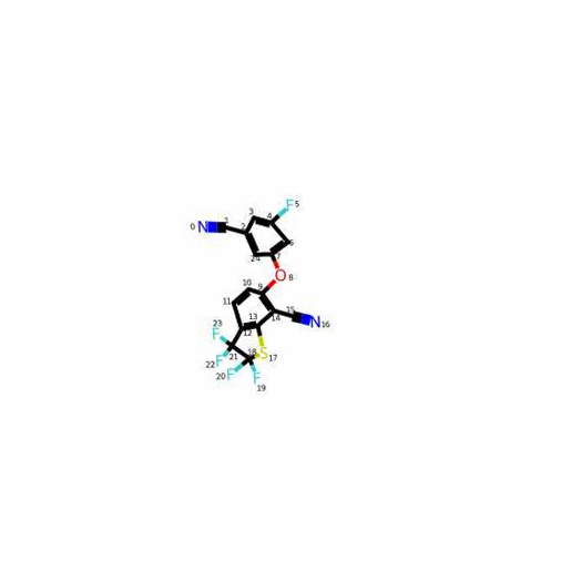 N#Cc1cc(F)cc(Oc2ccc3c(c2C#N)SC(F)(F)C3(F)F)c1